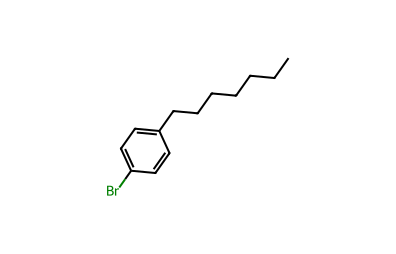 CCCCCCCc1ccc(Br)cc1